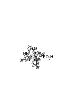 CC(C)(C)OC(=O)N1CCCC1CNc1nc(Br)cnc1N.O=C(O)N1CCCC1Cn1c(=O)[nH]c2ncc(Br)nc21